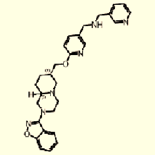 c1cncc(CNCc2ccc(OC[C@@H]3CC[C@H]4CN(c5noc6ccccc56)CCN4C3)nc2)c1